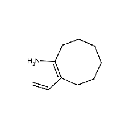 C=CC1=C(N)CCCCCC1